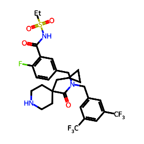 CCS(=O)(=O)NC(=O)c1cc(CN(Cc2cc(C(F)(F)F)cc(C(F)(F)F)c2)C(=O)C2(CC3CC3)CCNCC2)ccc1F